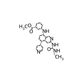 CCNC(=O)Nc1cc2c(-c3ccncc3)ccc(Nc3cccc(C(=O)OC)c3)c2cn1